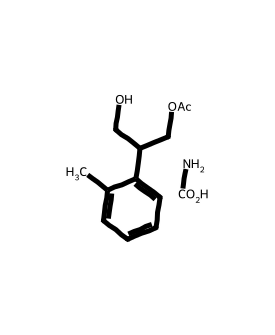 CC(=O)OCC(CO)c1ccccc1C.NC(=O)O